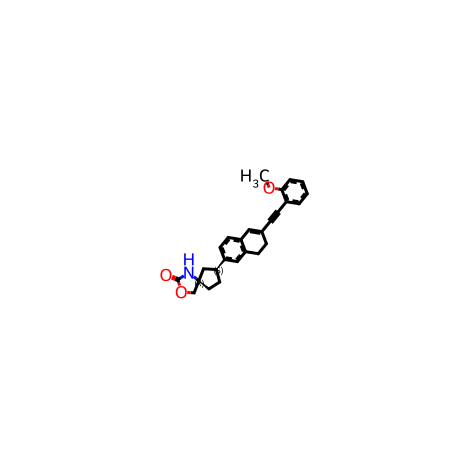 COc1ccccc1C#CC1=Cc2ccc([C@H]3CC[C@]4(COC(=O)N4)C3)cc2CC1